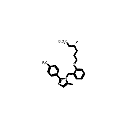 CCOC(=O)C[C@H](C)CCCOc1ccccc1Cn1c(C)cnc1-c1ccc(C(F)(F)F)cc1